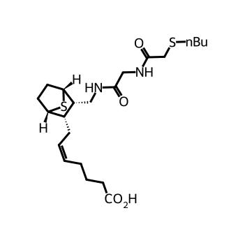 CCCCSCC(=O)NCC(=O)NC[C@@H]1[C@H](C/C=C\CCCC(=O)O)[C@@H]2CC[C@H]1S2